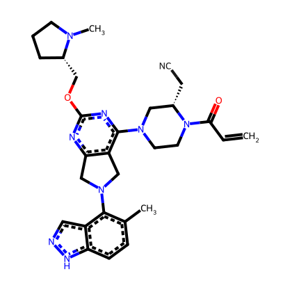 C=CC(=O)N1CCN(c2nc(OC[C@@H]3CCCN3C)nc3c2CN(c2c(C)ccc4[nH]ncc24)C3)C[C@@H]1CC#N